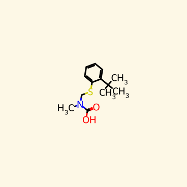 CN(CSc1ccccc1C(C)(C)C)C(=O)O